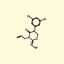 C=CCN1C(=O)N(c2cc(Cl)cc(Cl)c2)CS/C1=N\C(C)C